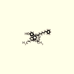 C=CCN1CC[C@@]2(c3cccc(O)c3)C[C@H](NC(=O)CCCCCc3ccccc3)CC(OC(C)=O)[C@@H]2C1